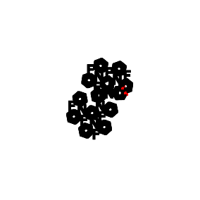 Fc1cccc(F)c1N(C1=CC(Nc2ccccc2)(c2cccc(N(c3ccccc3)c3cc(N(c4ccccc4)c4c(F)cccc4F)cc(N(c4ccccc4)c4c(F)cccc4F)c3)c2)CC(N(c2ccccc2)c2c(F)cccc2F)=C1)c1ccccc1